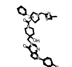 COc1ccc(-n2ccc3c(=O)n(CC4(O)CCN(C(=O)[C@@H]5CCN(Cc6nc(C)cs6)C[C@H]5c5ccccc5)CC4)cnc32)cc1